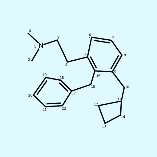 CN(C)CCc1[c]ccc(CC2CCC2)c1Cc1ccccc1